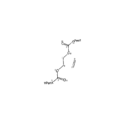 C=C.CCCCCC(=O)OCCOC(=O)CCCCC